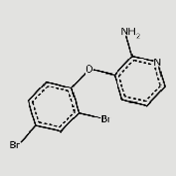 Nc1ncccc1Oc1ccc(Br)cc1Br